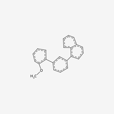 COc1ccccc1-c1cccc(-c2cccc3ccccc23)c1